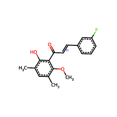 COc1c(C)cc(C)c(O)c1C(=O)/C=C/c1cccc(F)c1